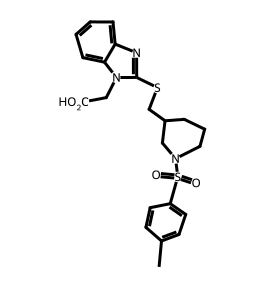 Cc1ccc(S(=O)(=O)N2CCCC(CSc3nc4ccccc4n3CC(=O)O)C2)cc1